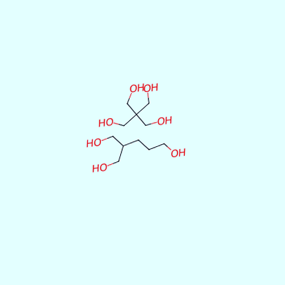 OCC(CO)(CO)CO.OCCCC(CO)CO